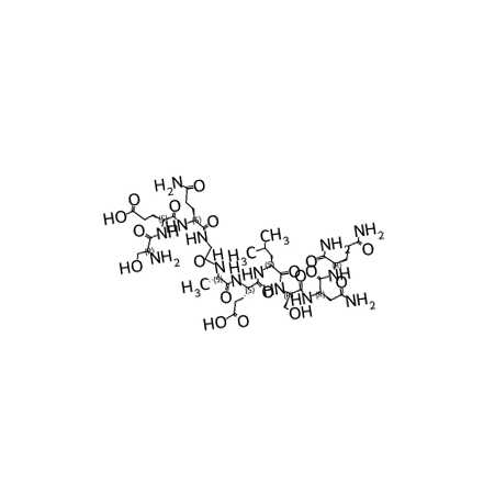 CC(C)C[C@H](NC(=O)[C@H](CCC(=O)O)NC(=O)[C@H](C)NC(=O)CNC(=O)[C@H](CCC(N)=O)NC(=O)[C@H](CCC(=O)O)NC(=O)[C@H](N)CO)C(=O)N[C@H](CO)C(=O)N[C@H](CC(N)=O)C(=O)N[C@H](CCC(N)=O)C(N)=O